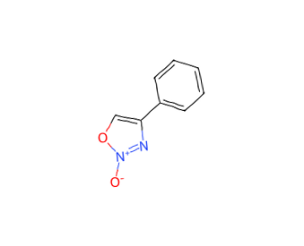 [O-][n+]1nc(-c2ccccc2)co1